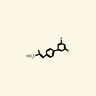 CC(=Cc1ccc(-c2cc(F)cc(F)c2)cc1)C(=O)O